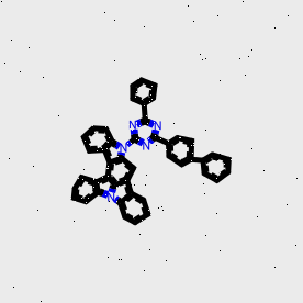 c1ccc(-c2ccc(-c3nc(-c4ccccc4)nc(-n4c5ccccc5c5c6c7ccccc7n7c8ccccc8c(cc54)c67)n3)cc2)cc1